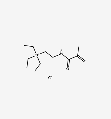 C=C(C)C(=O)NCC[N+](CC)(CC)CC.[Cl-]